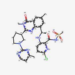 Cc1cc([C@@H](C)Nc2ccc(Cl)nc2C(=O)NS(C)(=O)=O)c2nc([C@@H]3CCCN(c4nccc(C)n4)C3)n(C)c(=O)c2c1